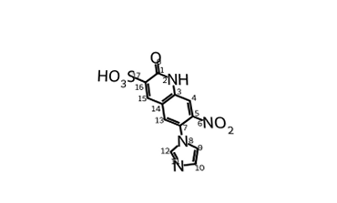 O=c1[nH]c2cc([N+](=O)[O-])c(-n3ccnc3)cc2cc1S(=O)(=O)O